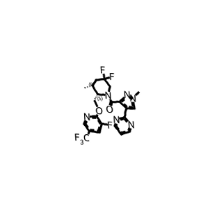 C[C@@H]1CC(F)(F)CN(C(=O)c2nn(C)cc2-c2ncccn2)[C@@H]1COc1ncc(C(F)(F)F)cc1F